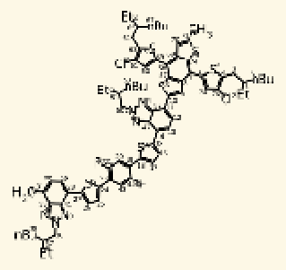 CCCCC(CC)Cc1sc(-c2c3cc(-c4ccc(-c5ccc(-c6cc(F)c(-c7ccc(-c8ccc(C)c9nn(CC(CC)CCCC)nc89)s7)cc6F)s5)c5nn(CC(CC)CCCC)nc45)sc3c(-c3cc(Cl)c(CC(CC)CCCC)s3)c3cc(C)sc23)cc1Cl